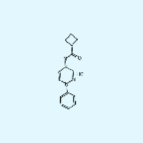 Cl.O=C(N=c1ccn(-c2ccccc2)nc1)C1CCC1